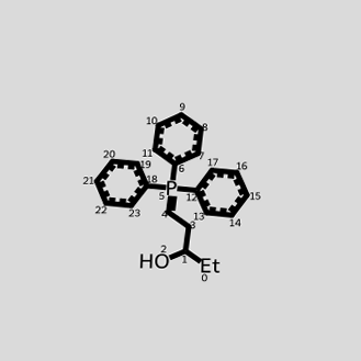 CCC(O)CC=P(c1ccccc1)(c1ccccc1)c1ccccc1